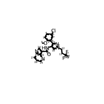 COc1ccc(Cl)cc1-c1nn(CCC(F)(F)F)cc1NC(=O)c1cnn2cccnc12